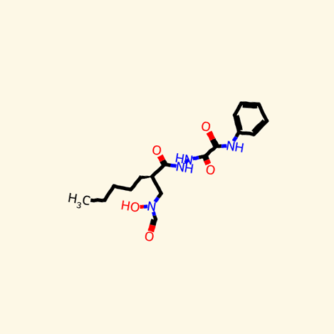 CCCCC[C@H](CN(O)C=O)C(=O)NNC(=O)C(=O)Nc1ccccc1